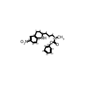 CN(CCCC1CCc2cc([N+](=O)[O-])ccc2N1)C(=O)Oc1ccccc1